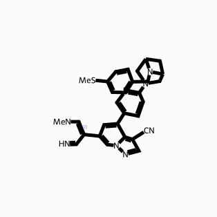 CN/C=C(\C=N)c1cc(-c2ccc(N3CC4CC(C3)N4Cc3ccc(SC)cc3)nc2)c2c(C#N)cnn2c1